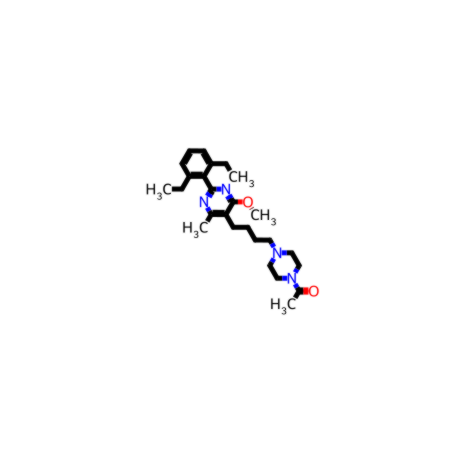 CCc1cccc(CC)c1-c1nc(C)c(CCCCN2CCN(C(C)=O)CC2)c(OC)n1